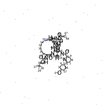 COc1ccc(-c2cccc(C(=O)N3C[C@H]4CN5C(=O)[C@@H](NC(=O)OCC(C)(C)C)CCCCC/C=C\[C@H]6C[C@@]6(C(=O)NS(=O)(=O)C6CC6)NC(=O)[C@@H]5[C@H]4C3)n2)cc1